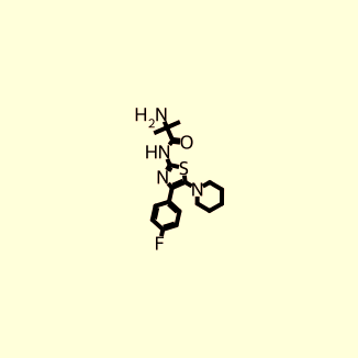 CC(C)(N)C(=O)Nc1nc(-c2ccc(F)cc2)c(N2CCCCC2)s1